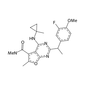 CNC(=O)c1c(C)oc2nc(C(C)c3ccc(OC)c(F)c3)nc(NC3(C)CC3)c12